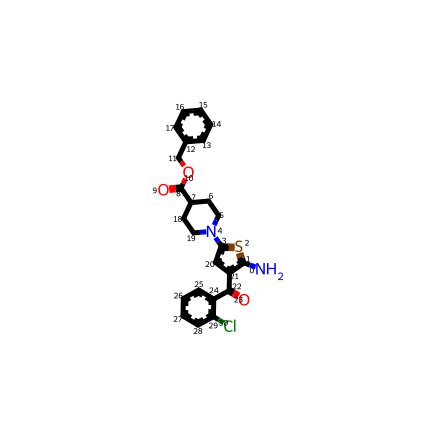 Nc1sc(N2CCC(C(=O)OCc3ccccc3)CC2)cc1C(=O)c1ccccc1Cl